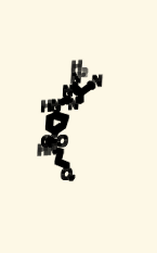 COCCCNS(=O)(=O)c1ccc(Nc2ncc(C#N)c(N)n2)cc1